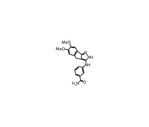 COc1cc2c(cc1OC)-c1n[nH]c(Nc3cccc(C(N)=O)c3)c1C2